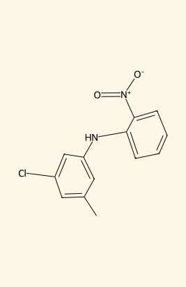 Cc1cc(Cl)cc(Nc2ccccc2[N+](=O)[O-])c1